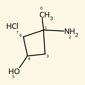 CC1(N)CC(O)C1.Cl